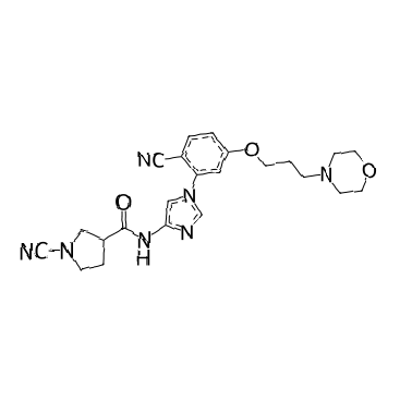 N#Cc1ccc(OCCCN2CCOCC2)cc1-n1cnc(NC(=O)C2CCN(C#N)C2)c1